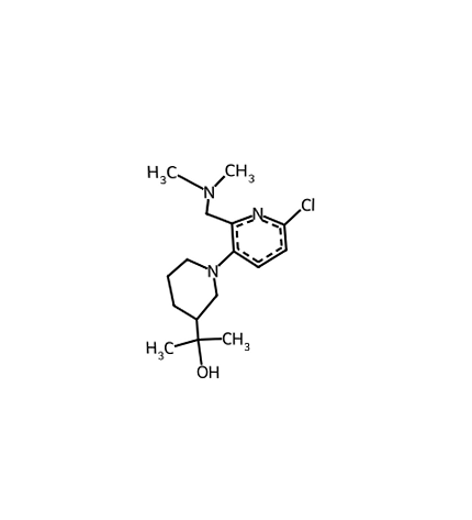 CN(C)Cc1nc(Cl)ccc1N1CCCC(C(C)(C)O)C1